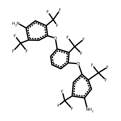 Nc1cc(C(F)(F)F)c(Oc2cccc(Oc3cc(C(F)(F)F)c(N)cc3C(F)(F)F)c2C(F)(F)F)cc1C(F)(F)F